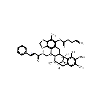 C=CCOC(=O)Oc1c(C)c2c(c3c1CC1[C@H]4c5c(cc(C)c(OC)c5O)C[C@@H]([C@H](C#N)N1[C@H]3CNC(=O)/C=C/c1ccccc1)N4C)OCO2